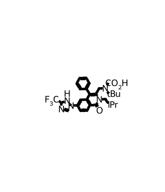 CC(C)Cn1c(CN(C(=O)O)C(C)(C)C)c(-c2ccccc2)c2cc(N3C=NC(C(F)(F)F)N3)ccc2c1=O